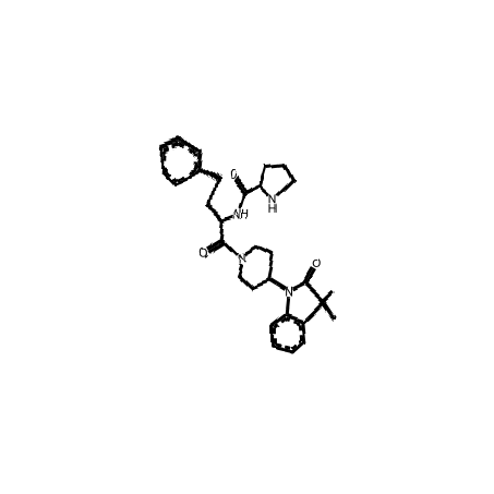 CC1(C)C(=O)N(C2CCN(C(=O)C(CCc3ccccc3)NC(=O)C3CCCN3)CC2)c2ccccc21